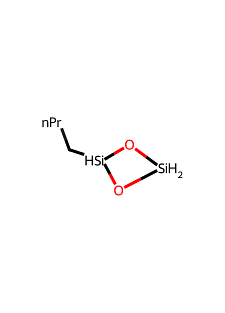 CCCC[SiH]1O[SiH2]O1